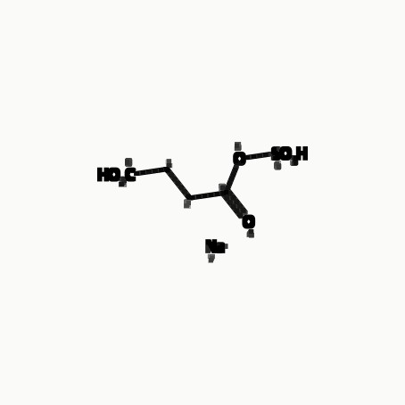 O=C(O)CCC(=O)OS(=O)(=O)O.[Na]